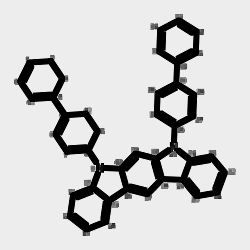 C1=CCCC(C2=CC=C(n3c4ccccc4c4cc5c6ccccc6n(-c6ccc(-c7ccccc7)cc6)c5cc43)CC2)=C1